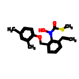 C=Cc1cccc(COc2ccc(C)cc2C)c1N(O)C(=O)SC